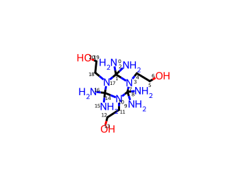 NC1(N)N(CCO)C(N)(N)N(CCO)C(N)(N)N1CCO